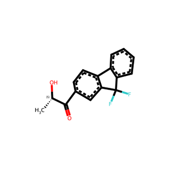 C[C@H](O)C(=O)c1ccc2c(c1)C(F)(F)c1ccccc1-2